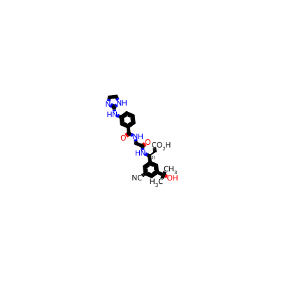 CC(C)(O)c1cc(C#N)cc([C@H](CC(=O)O)NC(=O)CNC(=O)c2cccc(NC3=NCCN3)c2)c1